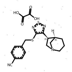 N#Cc1ccc(CSc2nsnc2[C@@H]2CN3CCC[C@H]2C3)cc1.O=C(O)C(=O)O